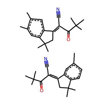 Cc1cc2c(cc1C)C(C)(C)C/C2=C(/C#N)C(=O)C(C)(C)C.Cc1ccc2c(c1)/C(=C(\C#N)C(=O)C(C)(C)C)CC2(C)C